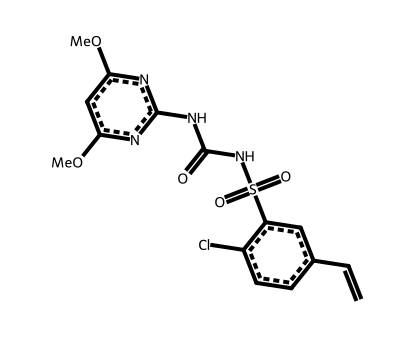 C=Cc1ccc(Cl)c(S(=O)(=O)NC(=O)Nc2nc(OC)cc(OC)n2)c1